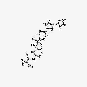 CC1(C(=O)Nc2cccc(NS(=O)(=O)c3ccc(-c4noc(-c5cscn5)n4)cc3)c2)CC1